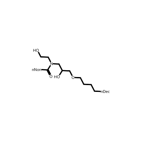 CCCCCCCCCCCCCCOCC(O)CN(CCO)C(=O)CCCCCCCCC